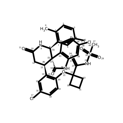 Cc1ccc(F)cc1[C@@H]1NC(=O)C[C@H](c2cc(Cl)ccc2OC2(C(=O)NS(C)(=O)=O)CCC2)[C@@]12C(=O)Nc1cc(Cl)ccc12